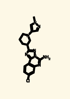 Cn1cc(N2CCCC(c3nc4c5ccc(Cl)cc5nc(N)n4n3)C2)cn1